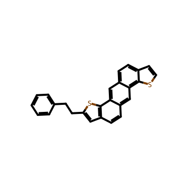 c1ccc(CCc2cc3ccc4cc5c(ccc6ccsc65)cc4c3s2)cc1